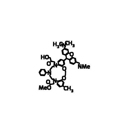 CNCc1ccc2c(c1)Oc1cc(N(C)C)ccc1C2c1ccc2c(c1)OCCOc1cc(C)ccc1N(CC(=O)OC)CCN(c1ccccc1)CCN2CC(=O)CO